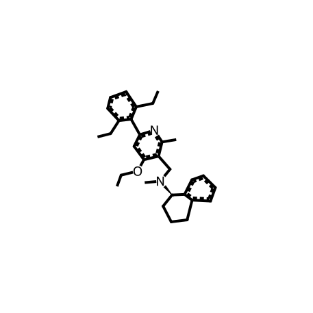 CCOc1cc(-c2c(CC)cccc2CC)nc(C)c1CN(C)[C@@H]1CCCc2ccccc21